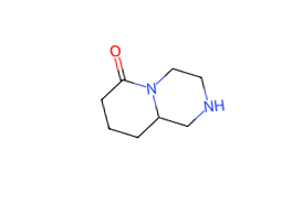 O=C1CCCC2CNCCN12